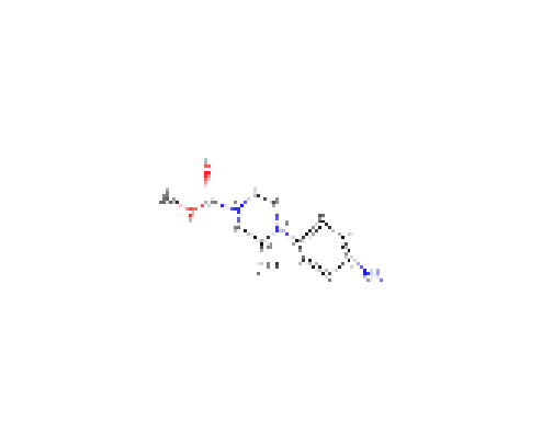 CC(C)(C)OC(=O)N1CCN(c2ccc(N)cc2)C(C=O)C1